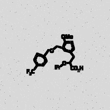 COc1ccc(CC(OC(C)C)C(=O)O)cc1COCc1ccc(C(F)(F)F)cc1